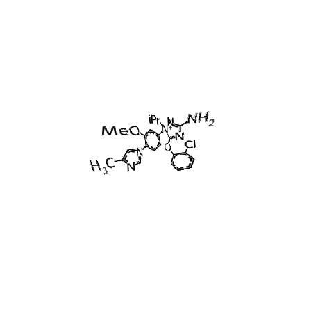 COc1cc([N+]2(C(C)C)N=C(N)N=C2Oc2ccccc2Cl)ccc1-n1cnc(C)c1